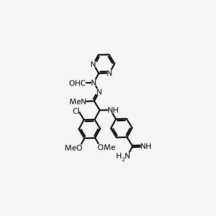 CN/C(=N\N(C=O)c1ncccn1)C(Nc1ccc(C(=N)N)cc1)c1cc(OC)c(OC)cc1Cl